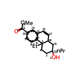 CCC[C@]1(O)CCC2(CC)c3ccc(C(=O)OC)cc3C=CC2C1